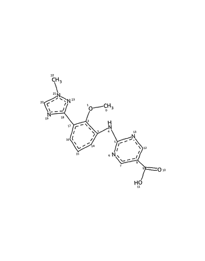 COc1c(Nc2ncc(C(=O)O)cn2)cccc1-c1ncn(C)n1